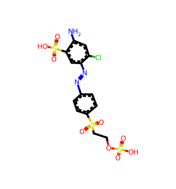 Nc1cc(Cl)c(N=Nc2ccc(S(=O)(=O)CCOS(=O)(=O)O)cc2)cc1S(=O)(=O)O